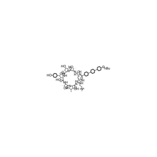 CCCCOc1ccc(-c2ccc(-c3ccc(C(=O)NC4C[C@@H](O)C(NCC[N+](C)(C)C)NC(=O)C5[C@@H](O)[C@@H](C)CN5C(=O)C([C@@H](C)O)NC(=O)C([C@H](O)[C@@H](O)c5ccc(O)cc5)NC(=O)C5C[C@@H](O)CN5C(=O)C([C@@H](C)O)NC4=O)cc3)cc2)cc1